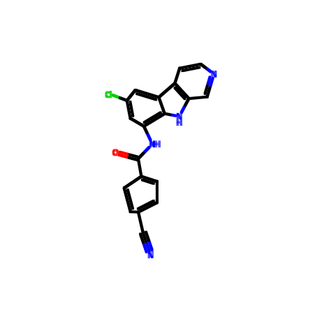 N#Cc1ccc(C(=O)Nc2cc(Cl)cc3c2[nH]c2cnccc23)cc1